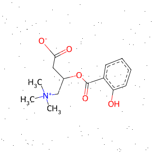 C[N+](C)(C)CC(CC(=O)[O-])OC(=O)c1ccccc1O